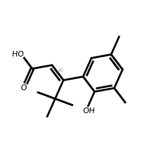 Cc1cc(C)c(O)c(/C(=C/C(=O)O)C(C)(C)C)c1